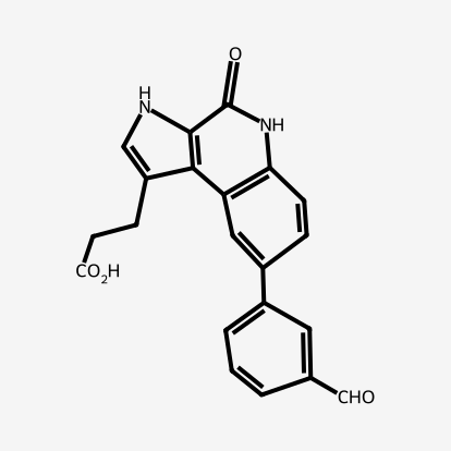 O=Cc1cccc(-c2ccc3[nH]c(=O)c4[nH]cc(CCC(=O)O)c4c3c2)c1